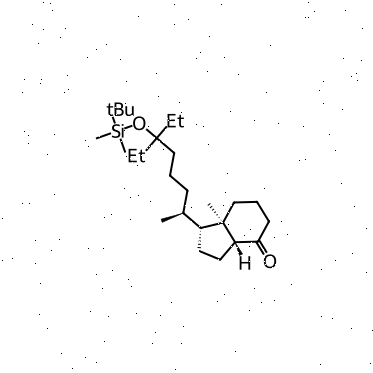 CCC(CC)(CCC[C@H](C)[C@H]1CC[C@H]2C(=O)CCC[C@]12C)O[Si](C)(C)C(C)(C)C